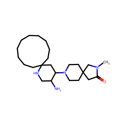 CN1CC2(CCN(C3CC4(CCCCCCCCCC4)NCC3N)CC2)CC1=O